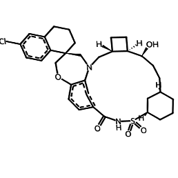 O=C1NS(=O)(=O)[C@H]2CCC[C@H](CC[C@H](O)[C@@H]3CC[C@H]3CN3C[C@@]4(CCCc5cc(Cl)ccc54)COc4ccc1cc43)C2